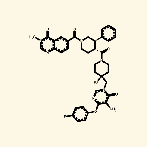 Cn1cnc2ccc(C(=O)N3CC[C@@H](C(=O)N4CCC(O)(Cn5cnc(Oc6ccc(F)cc6)c(N)c5=O)CC4)[C@H](c4ccccc4)C3)cc2c1=O